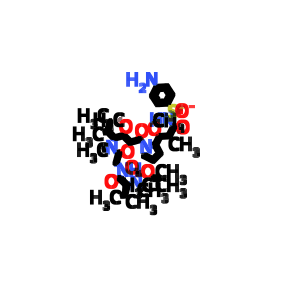 CCC(C)C(C(CC(=O)N1CCCC1C(OC)C(C)C(=O)N[S+]([O-])c1ccc(N)cc1)OC)N(C)C(=O)CNC(=O)C(C(C)C)N(C)C(=O)OC(C)(C)C